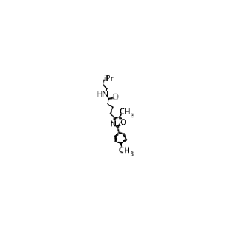 Cc1ccc(-c2nc(CCCC(=O)NCCC(C)C)c(C)o2)cc1